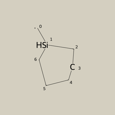 [CH2][SiH]1CCCCC1